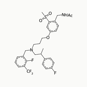 CC(=O)NCc1ccc(OCCCN(Cc2cccc(C(F)(F)F)c2F)CC(C)c2ccc(F)cc2)cc1S(C)(=O)=O